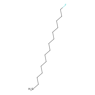 FCCCCCCCCCCCCCC[SiH3]